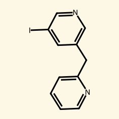 Ic1cncc(Cc2ccccn2)c1